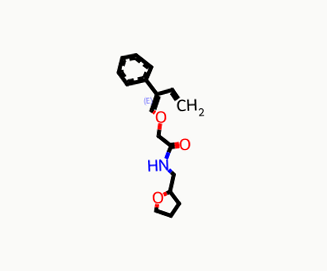 C=C/C(=C\OCC(=O)NCC1CCCO1)c1ccccc1